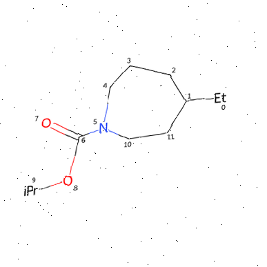 CCC1CCCN(C(=O)OC(C)C)CC1